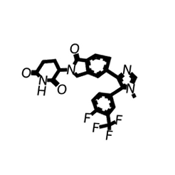 Cn1cnc(-c2ccc3c(c2)CN(C2CCC(=O)NC2=O)C3=O)c1-c1ccc(F)c(C(F)(F)F)c1